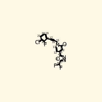 O=c1cc(-c2nnc(C(F)F)o2)ccn1CC#Cc1cccc(Cl)c1F